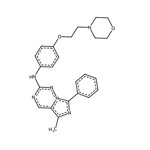 Cc1nc(-c2ccccc2)n2nc(Nc3ccc(OCCN4CCOCC4)cc3)ncc12